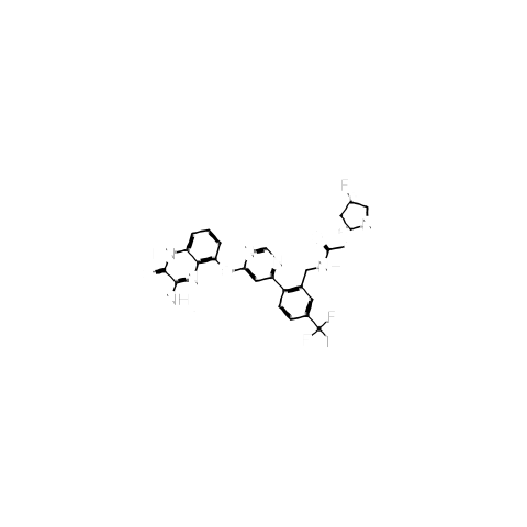 Nc1nc2c(Oc3cc(-c4ccc(C(F)(F)F)cc4CNC(=O)C[C@@H]4C[C@@H](F)CN4)ncn3)cccc2[nH]c1=O